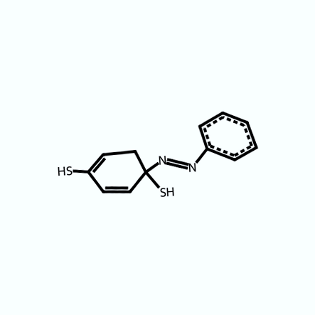 SC1=CCC(S)(N=Nc2ccccc2)C=C1